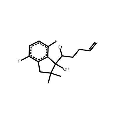 C=CCCC(CC)C1(O)c2c(F)ccc(F)c2CC1(C)C